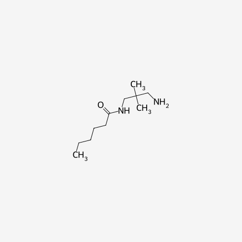 CCCCCC(=O)NCC(C)(C)CN